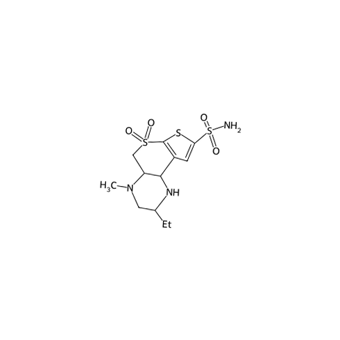 CCC1CN(C)C2CS(=O)(=O)c3sc(S(N)(=O)=O)cc3C2N1